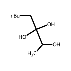 CCCCCC(O)(O)C(C)O